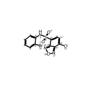 O=S(=O)(Nc1ccccc1Br)c1ccc(Cl)c2nonc12